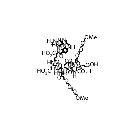 COCCOCCOCCOCCC(=O)NC[C@H](NC(=O)[C@H](CCC(=O)O)NC(=O)[C@H](CNC(=O)CCOCCOCCOCCOC)NC(=O)[C@H](CCC(=O)O)NC(=O)CC[C@H](NC(=O)c1ccc(NCc2cnc3nc(N)[nH]c(=O)c3n2)cc1)C(=O)O)C(=O)NC(CSSCCOCO)C(=O)O